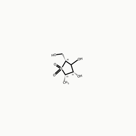 C[C@H]1[C@@H](O)C(O)[C@@H](CO)S1(=O)=O